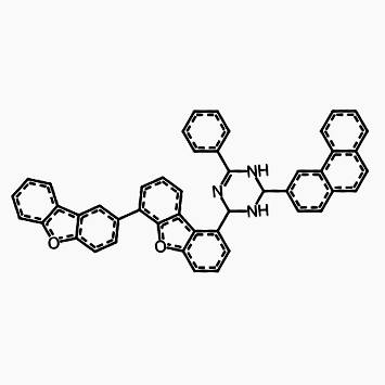 c1ccc(C2=NC(c3cccc4oc5c(-c6ccc7oc8ccccc8c7c6)cccc5c34)NC(c3ccc4ccc5ccccc5c4c3)N2)cc1